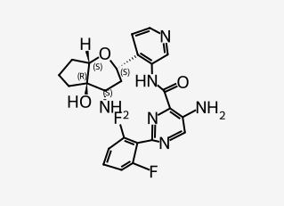 Nc1cnc(-c2c(F)cccc2F)nc1C(=O)Nc1cnccc1[C@@H]1C[C@H](N)[C@]2(O)CCC[C@@H]2O1